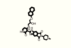 CN1CCC(N2C(=O)c3cc4nc(-c5c(NCC(O)COc6ccc7ccccc7c6)cc[nH]c5=O)[nH]c4cc3C2=O)CC1